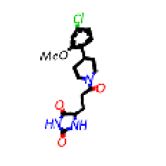 COc1cc(Cl)ccc1C1CCN(C(=O)CCC2NC(=O)NC2=O)CC1